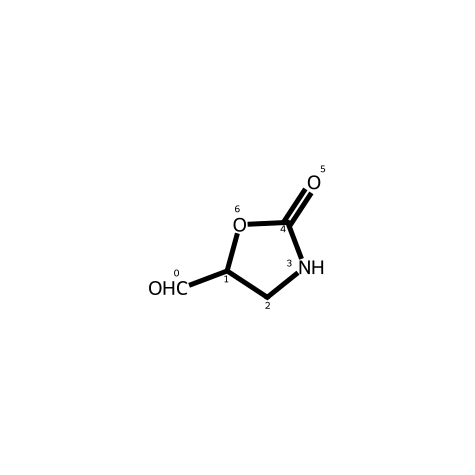 O=CC1CNC(=O)O1